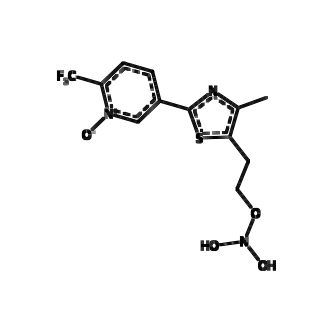 Cc1nc(-c2ccc(C(F)(F)F)[n+]([O-])c2)sc1CCON(O)O